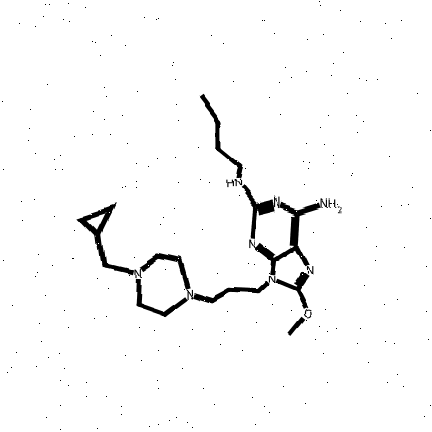 CCCCNc1nc(N)c2nc(OC)n(CCCN3CCN(CC4CC4)CC3)c2n1